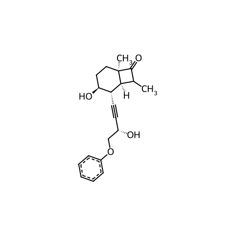 CC1C(=O)[C@]2(C)CC[C@H](O)[C@@H](C#C[C@H](O)COc3ccccc3)[C@H]12